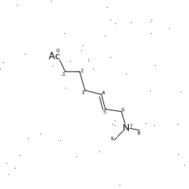 CC(=O)CCC/C=C/CN(C)C